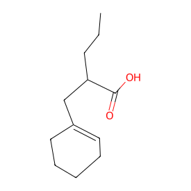 CCCC(CC1=CCCCC1)C(=O)O